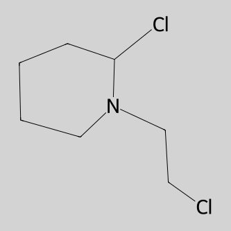 ClCCN1CCCCC1Cl